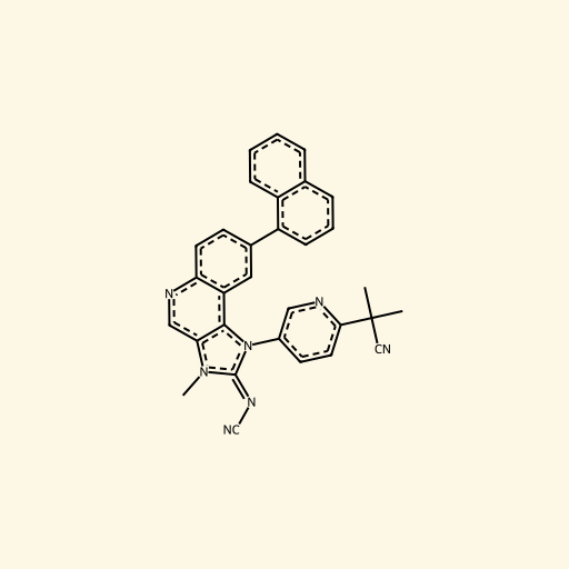 Cn1c(=NC#N)n(-c2ccc(C(C)(C)C#N)nc2)c2c3cc(-c4cccc5ccccc45)ccc3ncc21